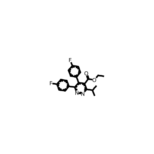 CCOC(=O)c1c(C(C)C)nnc(-c2ccc(F)cc2)c1-c1ccc(F)cc1